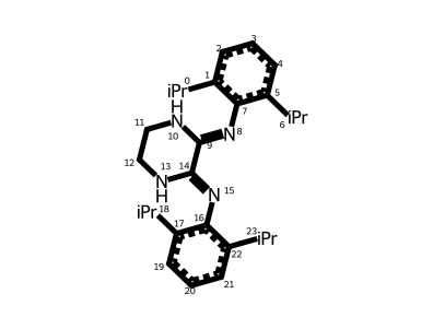 CC(C)c1cccc(C(C)C)c1N=C1NCCNC1=Nc1c(C(C)C)cccc1C(C)C